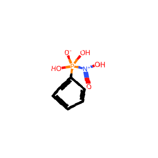 O=[N+](O)P([O-])(O)(O)c1ccccc1